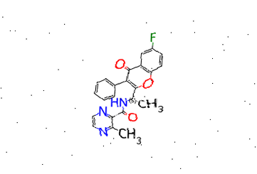 Cc1nccnc1C(=O)N[C@@H](C)c1oc2ccc(F)cc2c(=O)c1-c1ccccc1